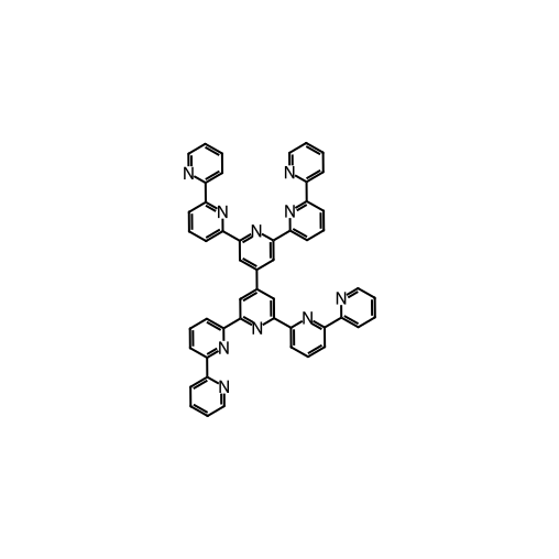 c1ccc(-c2cccc(-c3cc(-c4cc(-c5cccc(-c6ccccn6)n5)nc(-c5cccc(-c6ccccn6)n5)c4)cc(-c4cccc(-c5ccccn5)n4)n3)n2)nc1